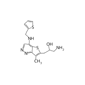 Cc1c(CC(O)CN)sc2c(NCc3cccs3)cnnc12